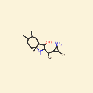 CCC1C(N)C1C(C(C)=O)C1NC2(C)CCC(C)C(C)CC2C1O